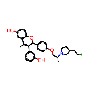 CC1=C(c2cccc(O)c2)C(c2ccc(OC[C@H](C)N3CC[C@@H](CCF)C3)cc2)Oc2ccc(O)cc21